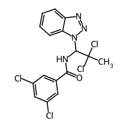 CC(Cl)(Cl)C(NC(=O)c1cc(Cl)cc(Cl)c1)n1nnc2ccccc21